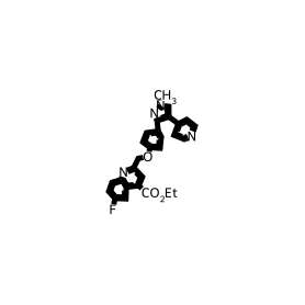 CCOC(=O)c1cc(COc2ccc(-c3nn(C)cc3-c3ccncc3)cc2)nc2ccc(F)cc12